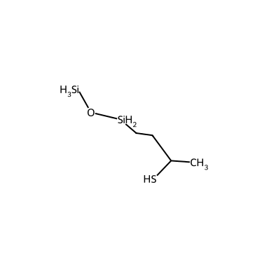 CC(S)CC[SiH2]O[SiH3]